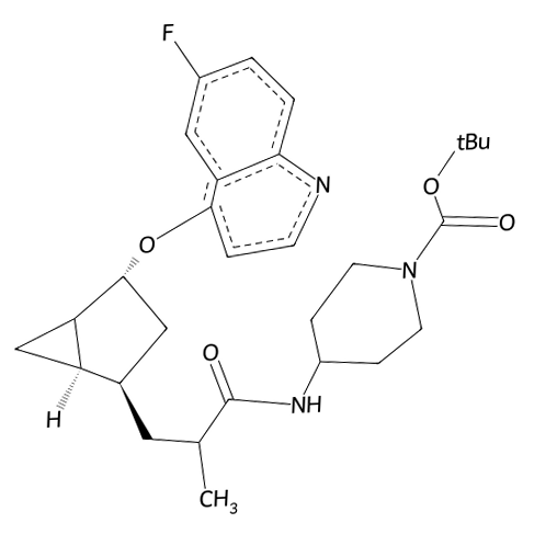 CC(C[C@@H]1C[C@@H](Oc2ccnc3ccc(F)cc23)C2C[C@@H]21)C(=O)NC1CCN(C(=O)OC(C)(C)C)CC1